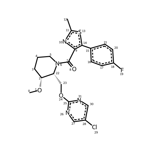 CO[C@@H]1CCCN(C(=O)c2nc(C)sc2-c2ccc(F)cc2)[C@@H]1COc1ncc(Cl)cn1